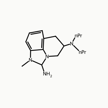 CCCN(CCC)C1Cc2cccc3c2N(C1)C(N)N3C